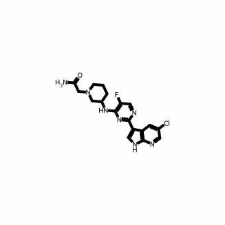 NC(=O)CN1CCCC(Nc2nc(-c3c[nH]c4ncc(Cl)cc34)ncc2F)C1